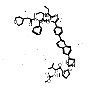 CC[C@@H](c1ncc(-c2ccc(-c3ccc4cc(-c5cnc([C@@H]6CCCN6C(=O)[C@@H](NC(=O)OC)C(C)C)[nH]5)ccc4c3)cc2)[nH]1)N(CC)C(=O)[C@H](NC(=O)CC1CCOCC1)c1ccccc1